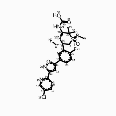 CN=S1(=O)C[C@@](CF)(c2cc(-c3cc(-c4ncc(Cl)cn4)no3)ccc2F)N=C(NC(=O)O)C1(C)C